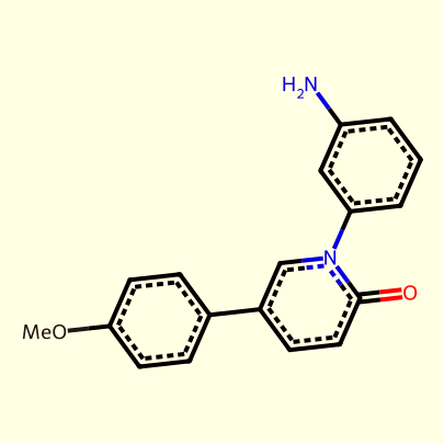 COc1ccc(-c2ccc(=O)n(-c3cccc(N)c3)c2)cc1